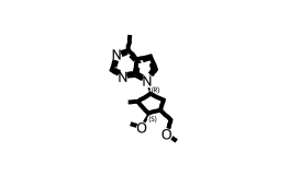 COCC1C[C@@H](n2ccc3c(C)ncnc32)C(C)[C@@H]1OC